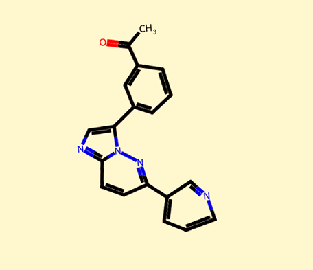 CC(=O)c1cccc(-c2cnc3ccc(-c4cccnc4)nn23)c1